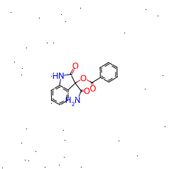 NC(=O)C1(OC(=O)c2ccccc2)C(=O)Nc2ccccc21